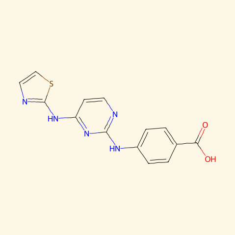 O=C(O)c1ccc(Nc2nccc(Nc3nccs3)n2)cc1